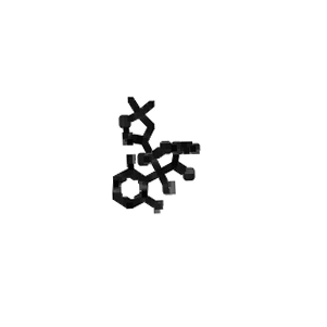 COC(=O)C(Cl)(c1c(F)cccc1F)S(=O)(=O)C1=NOC(C)(C)C1